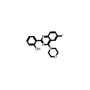 Oc1ccccc1-c1nc(N2CCOCC2)c2cc(F)ccc2n1